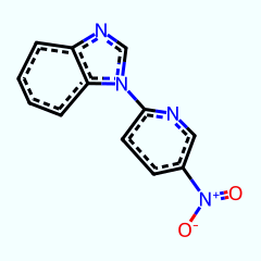 O=[N+]([O-])c1ccc(-n2cnc3ccccc32)nc1